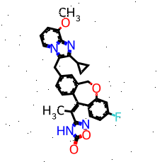 COc1cccn2c(Cc3ccc4c(c3)COc3cc(F)ccc3C4=C(C)c3noc(=O)[nH]3)c(C3CC3)nc12